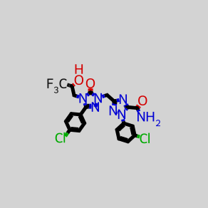 NC(=O)c1nc(Cn2nc(-c3ccc(Cl)cc3)n(CC(O)C(F)(F)F)c2=O)nn1-c1cccc(Cl)c1